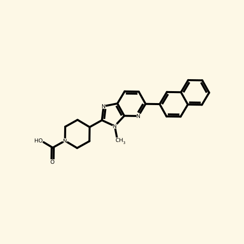 Cn1c(C2CCN(C(=O)O)CC2)nc2ccc(-c3ccc4ccccc4c3)nc21